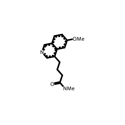 CNC(=O)CCCc1cncc2ccc(OC)cc12